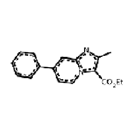 CCOC(=O)c1c(C)nc2cc(-c3ccccc3)ccn12